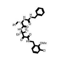 CC[C@@](C)(NC(=O)[C@H](CC(C)C)NC(=O)NCc1ccccc1)C(=O)C(=O)NCc1cccc(Cl)c1OC